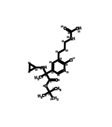 CC(C)(C)OC(=O)C(C)(NC1CC1)c1cnc(Cl)c(CCCNC(=O)O)c1